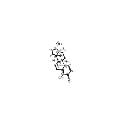 C[C@]12CC[C@H]3[C@@H](CCC4=C(Cl)C(=O)C=C[C@@]43C)[C@@H]1CC[C@@H]2O